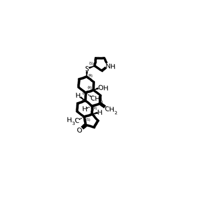 C=C1C[C@@]2(O)C[C@H](S[C@H]3CCNC3)CC[C@]2(C)[C@H]2CC[C@]3(C)C(=O)CC[C@H]3[C@H]12